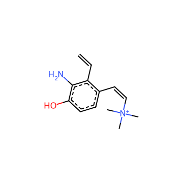 C=Cc1c(/C=C\[N+](C)(C)C)ccc(O)c1N